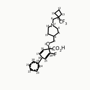 O=C(O)C1(OCC2CCN(CC3(C(F)(F)F)CCC3)CC2)C=CC(c2ccccc2)C=C1F